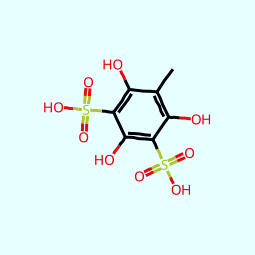 Cc1c(O)c(S(=O)(=O)O)c(O)c(S(=O)(=O)O)c1O